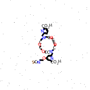 O=C(O)c1cccc(CN2CCOCCOCCN(Cc3cc(OCCN=C=S)cc(C(=O)O)n3)CCOCCOCC2)n1